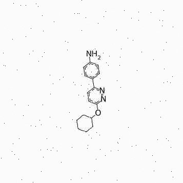 Nc1ccc(-c2ccc(OC3CCCCC3)nn2)cc1